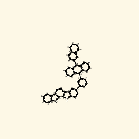 c1cc(-c2ccc3oc4c(ccc5c6ccccc6oc54)c3c2)cc(-c2c3ccccc3c(-c3ccc4ccccc4c3)c3ccccc23)c1